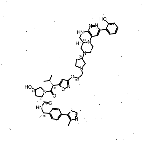 Cc1ncsc1-c1ccc([C@H](C)NC(=O)[C@@H]2C[C@@H](O)CN2C(=O)[C@@H](c2cc(O[C@@H](C)CN3CC[C@@H](N4CCN5c6cc(-c7ccccc7O)nnc6NC[C@@H]5C4)C3)no2)C(C)C)cc1